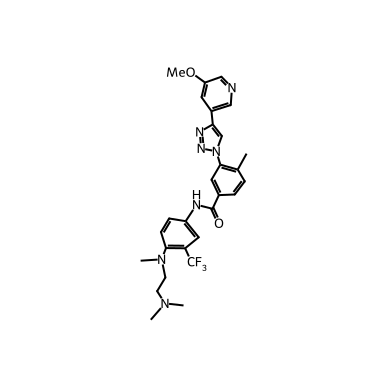 COc1cncc(-c2cn(-c3cc(C(=O)Nc4ccc(N(C)CCN(C)C)c(C(F)(F)F)c4)ccc3C)nn2)c1